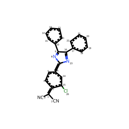 N#CC(C#N)=c1ccc(=C2N=C(c3ccccc3)C(c3ccccc3)=N2)cc1Cl